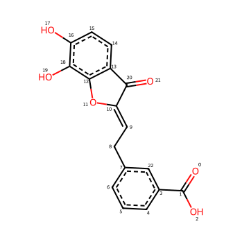 O=C(O)c1cccc(CC=C2Oc3c(ccc(O)c3O)C2=O)c1